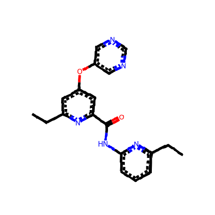 CCc1cccc(NC(=O)c2cc(Oc3cncnc3)cc(CC)n2)n1